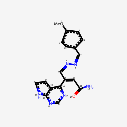 COc1ccc(\C=N/N=C\C(=C\C(N)=O)c2ncnc3[nH]ccc23)cc1